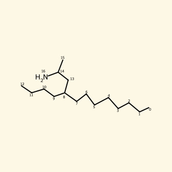 CCCCCCCCC(CCCC)CC(C)N